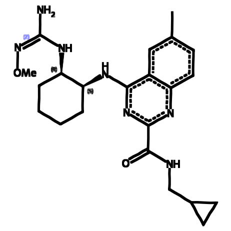 CO/N=C(/N)N[C@@H]1CCCC[C@@H]1Nc1nc(C(=O)NCC2CC2)nc2ccc(C)cc12